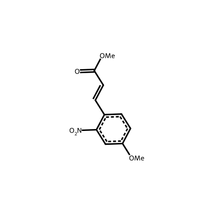 COC(=O)C=Cc1ccc(OC)cc1[N+](=O)[O-]